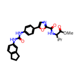 COC(=O)C(NC(=O)c1ncc(-c2ccc(NC(=O)Nc3ccc4c(c3)CCC4)cc2)o1)C(C)C